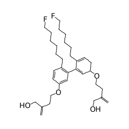 C=C(CO)CCOc1ccc(CCCCCCF)c(C2=CC(OCCC(=C)CO)CC=C2CCCCCCF)c1